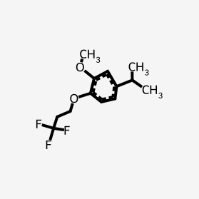 COc1cc(C(C)C)ccc1OCCC(F)(F)F